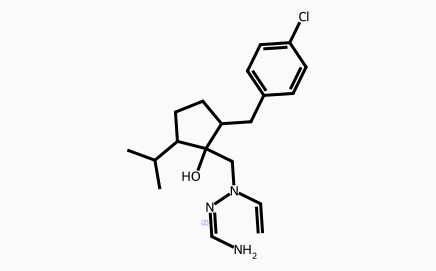 C=CN(CC1(O)C(Cc2ccc(Cl)cc2)CCC1C(C)C)/N=C\N